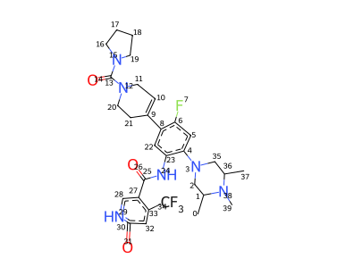 CC1CN(c2cc(F)c(C3=CCN(C(=O)N4CCCC4)CC3)cc2NC(=O)c2c[nH]c(=O)cc2C(F)(F)F)CC(C)N1C